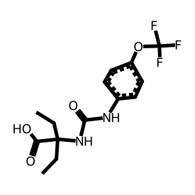 CCC(CC)(NC(=O)Nc1ccc(OC(F)(F)F)cc1)C(=O)O